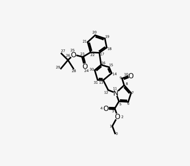 CCOC(=O)c1ccc(C=O)n1Cc1ccc(-c2ccccc2C(=O)OC(C)(C)C)cc1